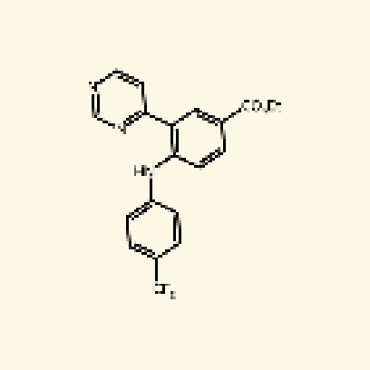 CCOC(=O)c1ccc(Nc2ccc(C(F)(F)F)cc2)c(-c2ccncn2)c1